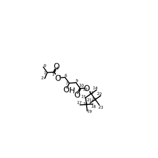 CC(C)C(=O)OCC(O)CC(=O)OC(C)(CC(C)(C)C)C(C)(C)C